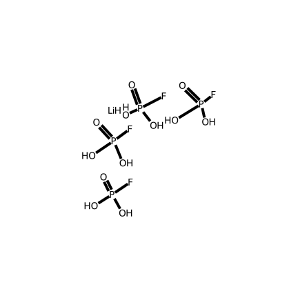 O=P(O)(O)F.O=P(O)(O)F.O=P(O)(O)F.O=P(O)(O)F.[LiH]